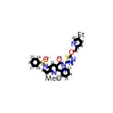 CCc1ccc(COc2nnc(NC(=O)c3cc4c(ccn4[S+]([O-])c4ccccc4)nc3-c3ccccc3OC)s2)nc1